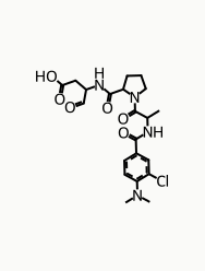 CC(NC(=O)c1ccc(N(C)C)c(Cl)c1)C(=O)N1CCCC1C(=O)NC(C=O)CC(=O)O